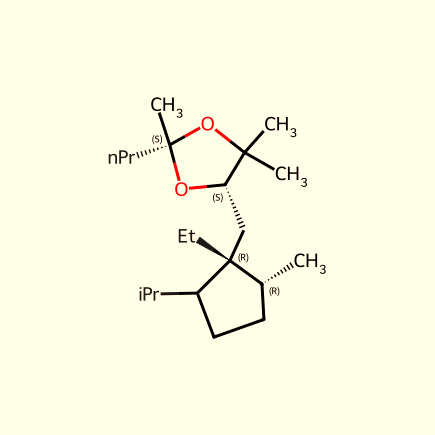 CCC[C@@]1(C)O[C@@H](C[C@@]2(CC)C(C(C)C)CC[C@H]2C)C(C)(C)O1